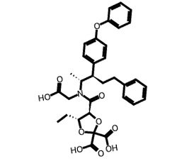 CC[C@H]1OC(C(=O)O)(C(=O)O)O[C@@H]1C(=O)N(CC(=O)O)[C@H](C)[C@H](CCc1ccccc1)c1ccc(Oc2ccccc2)cc1